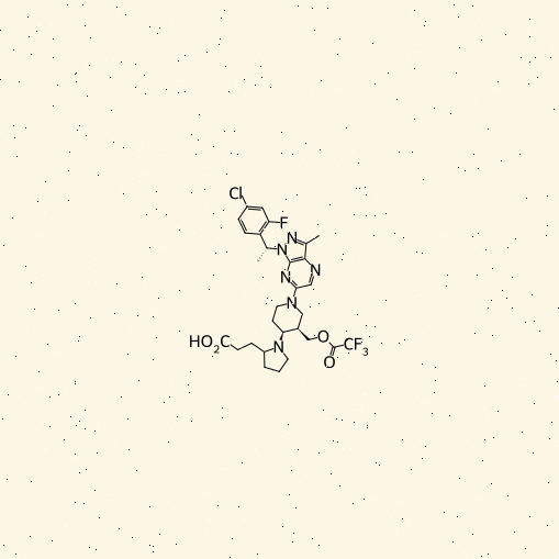 Cc1nn([C@H](C)c2ccc(Cl)cc2F)c2nc(N3CC[C@H](N4CCCC4CCC(=O)O)[C@H](COC(=O)C(F)(F)F)C3)cnc12